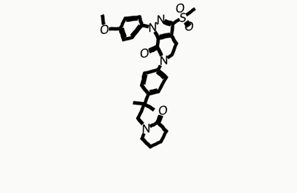 COc1ccc(-n2nc(S(C)(=O)=O)c3c2C(=O)N(c2ccc(C(C)(C)CN4CCCCC4=O)cc2)CC3)cc1